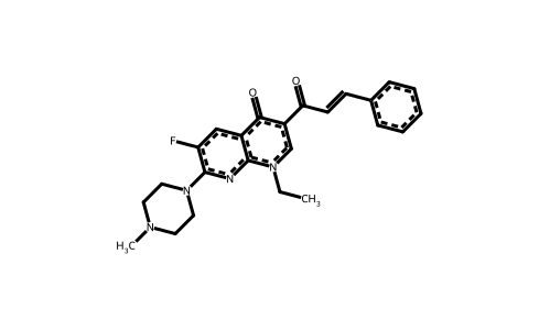 CCn1cc(C(=O)C=Cc2ccccc2)c(=O)c2cc(F)c(N3CCN(C)CC3)nc21